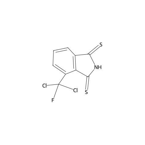 FC(Cl)(Cl)c1cccc2c1C(=S)NC2=S